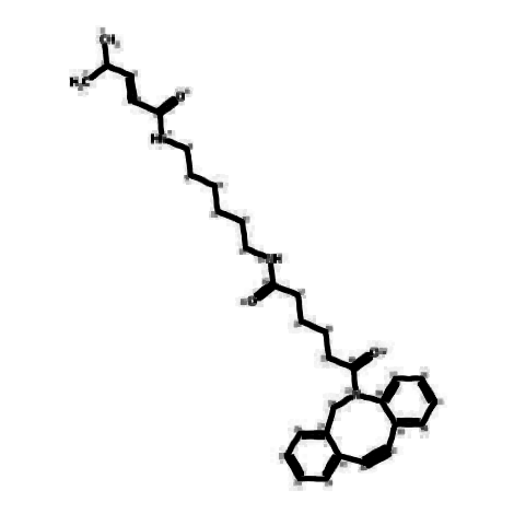 CC(C)/C=C/C(=O)NCCCCCCNC(=O)CCCCC(=O)N1Cc2ccccc2C#Cc2ccccc21